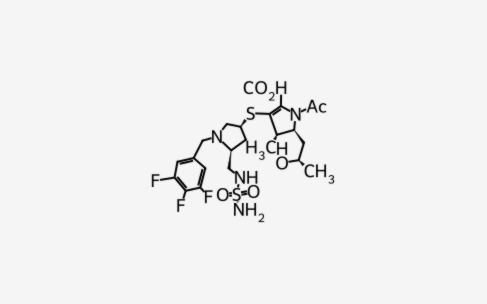 CC(=O)N1C(C(=O)O)=C(S[C@H]2C[C@@H](CNS(N)(=O)=O)N(Cc3cc(F)c(F)c(F)c3)C2)[C@H](C)[C@@H]1C[C@@H](C)O